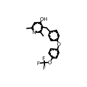 Cc1cc(O)c(Cc2ccc(Oc3ccc(OC(F)(F)F)cc3)cc2)c(C)n1